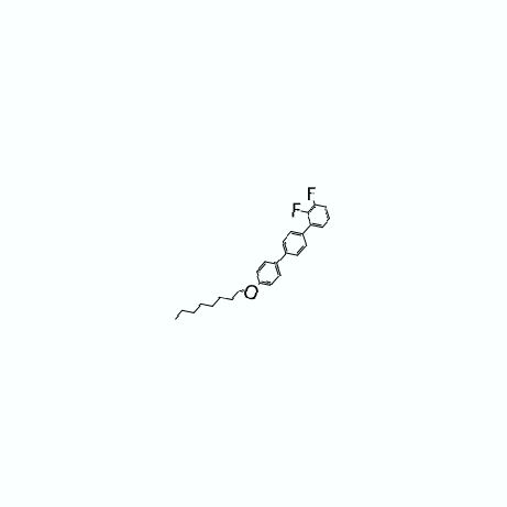 CCCCCCCCOc1ccc(-c2ccc(-c3cccc(F)c3F)cc2)cc1